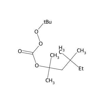 CCC(C)(C)CC(C)(C)OC(=O)OOC(C)(C)C